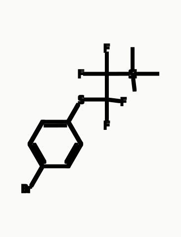 C[Si](C)(C)C(F)(F)C(F)(F)Sc1ccc(Br)cc1